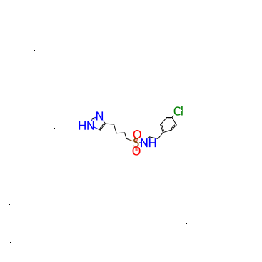 O=S(=O)(CCCCc1c[nH]cn1)NCCc1ccc(Cl)cc1